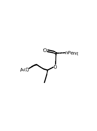 CCCCCC(=O)OC(C)COC(C)=O